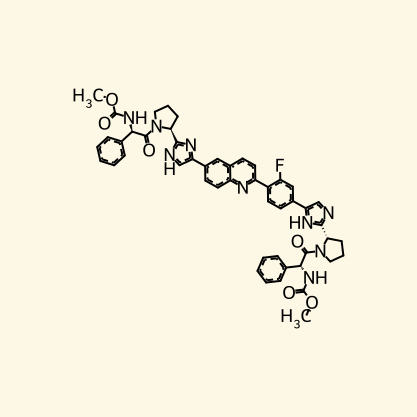 COC(=O)N[C@@H](C(=O)N1CCC[C@H]1c1nc(-c2ccc3nc(-c4ccc(-c5cnc([C@@H]6CCCN6C(=O)[C@H](NC(=O)OC)c6ccccc6)[nH]5)cc4F)ccc3c2)c[nH]1)c1ccccc1